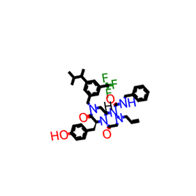 C=CCN1CC(=O)N2[C@@H](Cc3ccc(O)cc3)C(=O)N(Cc3cc(C(C)C(C)C)cc(C(F)(F)F)c3)C[C@@H]2N1C(=O)NCc1ccccc1